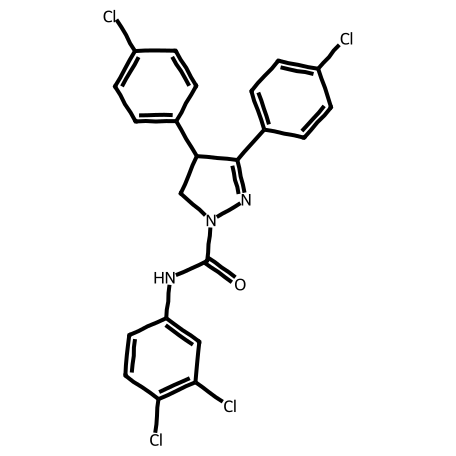 O=C(Nc1ccc(Cl)c(Cl)c1)N1CC(c2ccc(Cl)cc2)C(c2ccc(Cl)cc2)=N1